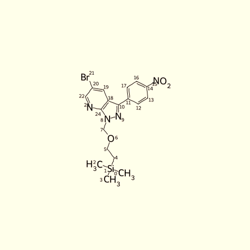 C[Si](C)(C)CCOCn1nc(-c2ccc([N+](=O)[O-])cc2)c2cc(Br)cnc21